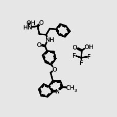 Cc1cc(COc2ccc(C(=O)NC(CC(=O)NO)Cc3ccccc3)cc2)c2ccccc2n1.O=C(O)C(F)(F)F